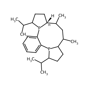 CC(C)C1CCC2C(C)CC(C)[C@H]3CCC(C(C)C)P3c3ccccc3P12